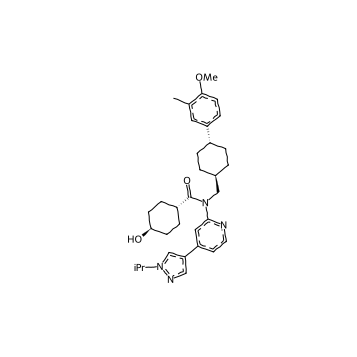 COc1ccc([C@H]2CC[C@H](CN(c3cc(-c4cnn(C(C)C)c4)ccn3)C(=O)[C@H]3CC[C@H](O)CC3)CC2)cc1C